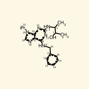 CC(O)C(C)Nc1nc(NCc2ccccc2)c2ncn(C(C)C)c2n1